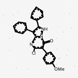 COc1ccc(-c2c(Cl)nc3c(-c4ccccc4)c(-c4ccccc4)[nH]n3c2=O)cc1